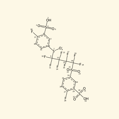 O=S(=O)(O)c1cc([S+]([O-])C(F)(F)C(F)(F)C(F)(F)C(F)(F)S(=O)(=O)c2ccc(F)c(S(=O)(=O)O)c2)ccc1F